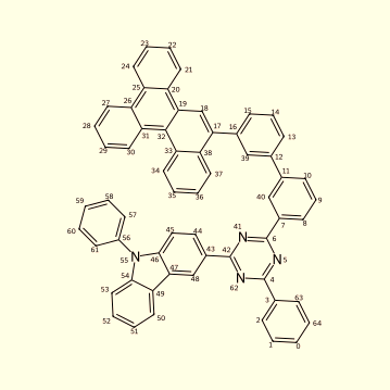 c1ccc(-c2nc(-c3cccc(-c4cccc(-c5cc6c7ccccc7c7ccccc7c6c6ccccc56)c4)c3)nc(-c3ccc4c(c3)c3ccccc3n4-c3ccccc3)n2)cc1